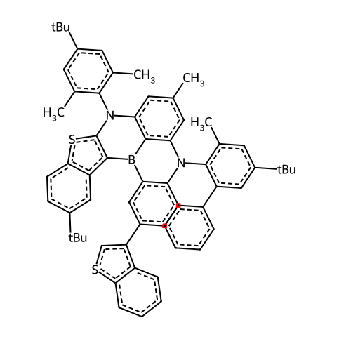 Cc1cc2c3c(c1)N(c1c(C)cc(C(C)(C)C)cc1C)c1sc4ccc(C(C)(C)C)cc4c1B3c1cc(-c3csc4ccccc34)ccc1N2c1c(C)cc(C(C)(C)C)cc1-c1ccccc1